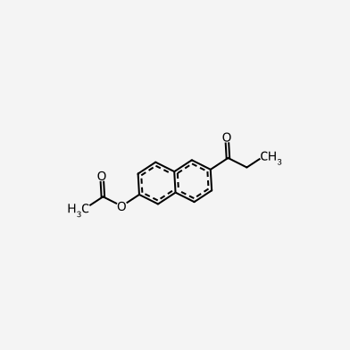 CCC(=O)c1ccc2cc(OC(C)=O)ccc2c1